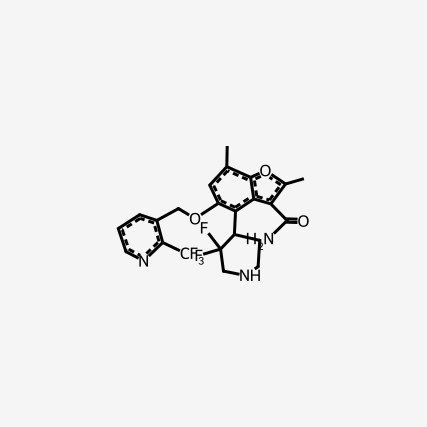 Cc1oc2c(C)cc(OCc3cccnc3C(F)(F)F)c(C3CCNCC3(F)F)c2c1C(N)=O